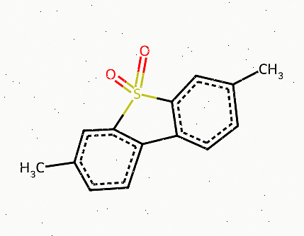 Cc1ccc2c(c1)S(=O)(=O)c1cc(C)ccc1-2